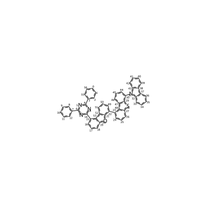 c1ccc(-c2nc(-c3ccccc3)nc(-c3cccc4oc5c(-c6cccc7sc8c(-n9c%10ccccc%10c%10ccccc%109)cccc8c67)cccc5c34)n2)cc1